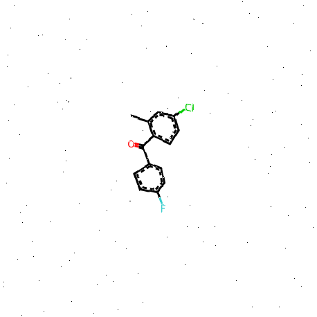 Cc1cc(Cl)ccc1C(=O)c1ccc(F)cc1